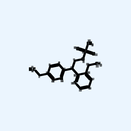 CCc1ccc(C(COS(C)(=O)=O)c2ncccc2CC)nc1